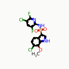 COc1c(Cl)ccc2c(S(=O)(=O)Nc3nc(F)c(Cl)cc3F)c[nH]c12